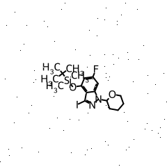 CC(C)(C)[Si](C)(C)Oc1cc(F)cc2c1c(I)nn2C1CCCCO1